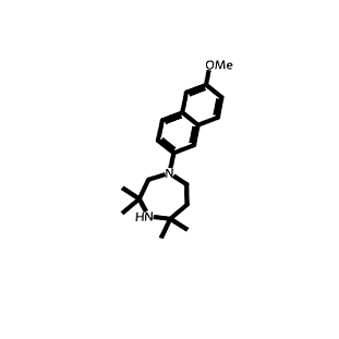 COc1ccc2cc(N3CCC(C)(C)NC(C)(C)C3)ccc2c1